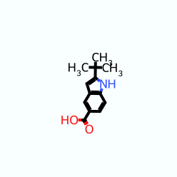 CC(C)(C)c1cc2cc(C(=O)O)ccc2[nH]1